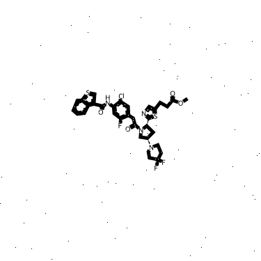 COC(=O)CCc1cnc([C@@H]2C[C@H](N3CCC(F)(F)CC3)CN2C(=O)Cc2cc(Cl)c(NC(=O)c3csc4ccccc34)cc2F)s1